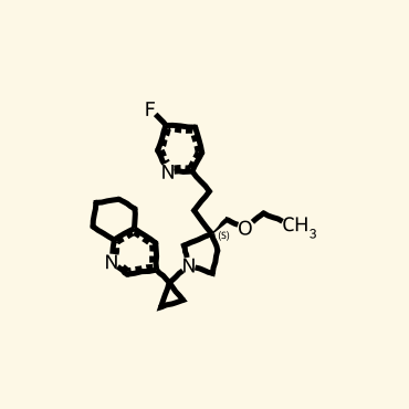 CCOC[C@@]1(CCc2ccc(F)cn2)CCN(C2(c3cnc4c(c3)CCCC4)CC2)C1